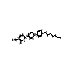 CCCCCCCc1ccc(-c2ccc(-c3ncc(C#N)c(F)n3)cc2)cc1